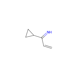 C=CC(=N)C1CC1